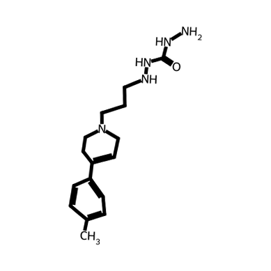 Cc1ccc(C2=CCN(CCCNNC(=O)NN)CC2)cc1